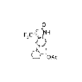 CC(=O)OC(C)C1CCCCN1c1ccc2[nH]c(=O)cc(C(F)(F)F)c2c1